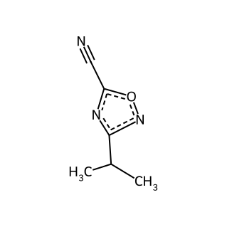 CC(C)c1noc(C#N)n1